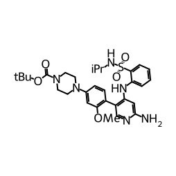 COc1cc(N2CCN(C(=O)OC(C)(C)C)CC2)ccc1-c1cnc(N)cc1Nc1ccccc1S(=O)(=O)NC(C)C